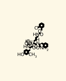 Cc1cc(O)ccc1C[C@H](NC(=O)OC(C)(C)C)C(=O)N[C@@H](CCCCNC(=O)OCc1ccccc1Cl)C(=O)N[C@@H](Cc1ccccc1)C(N)=O